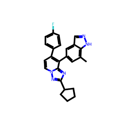 Cc1cc(-c2c(-c3ccc(F)cc3)ccn3nc(C4CCCC4)nc23)cc2cn[nH]c12